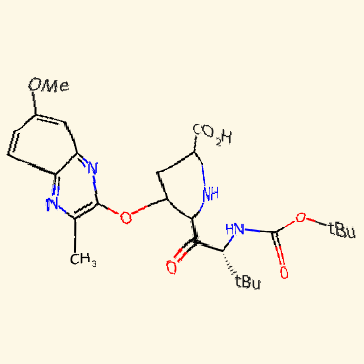 COc1ccc2nc(C)c(OC3CC(C(=O)O)NC3C(=O)[C@H](NC(=O)OC(C)(C)C)C(C)(C)C)nc2c1